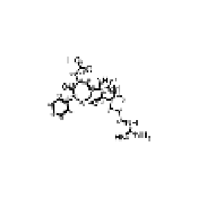 CN[C@@H](CCCNC(=N)N)C(=O)C(N)(C(C)=O)C1=CC(CC(=O)O)C(=O)N(c2ccccc2)CC1